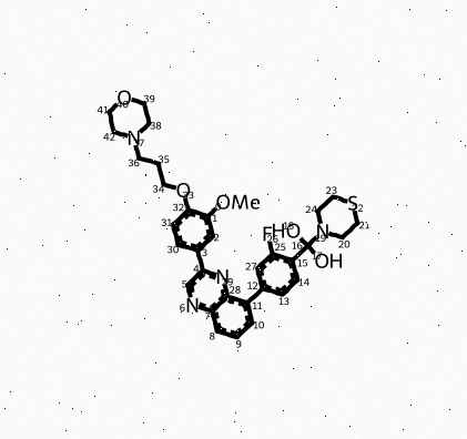 COc1cc(-c2cnc3cccc(-c4ccc(C(O)(O)N5CCSCC5)c(F)c4)c3n2)ccc1OCCCN1CCOCC1